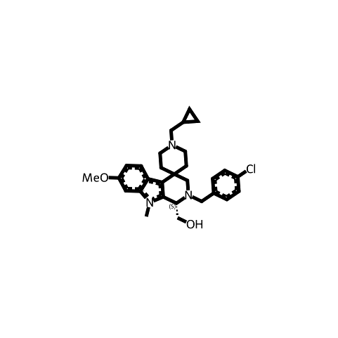 COc1ccc2c3c(n(C)c2c1)[C@@H](CO)N(Cc1ccc(Cl)cc1)CC31CCN(CC2CC2)CC1